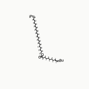 CCCCC=CCCCCCCCC(=O)OCCCCCCCCCCCCCCCCCCCCCCC(C)C